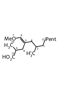 CCCC(C)CC(C)CC(=COC)CC(C)C(=O)O